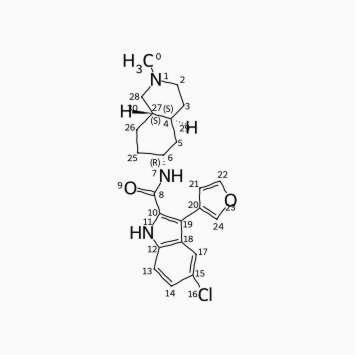 CN1CC[C@H]2C[C@H](NC(=O)c3[nH]c4ccc(Cl)cc4c3-c3ccoc3)CC[C@@H]2C1